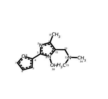 Cc1nc(-c2ccco2)n(O)c1CN(C)C